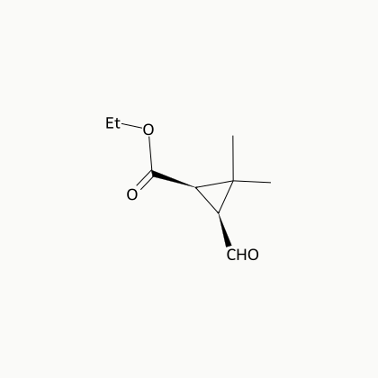 CCOC(=O)[C@@H]1[C@H](C=O)C1(C)C